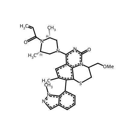 C=CC(=O)N1[C@H](C)CN(c2nc(=O)n3c4c(c(-c5cccc6cnn(C)c56)c(C)cc24)SCC3COC)C[C@@H]1C